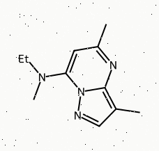 CCN(C)c1cc(C)nc2c(C)cnn12